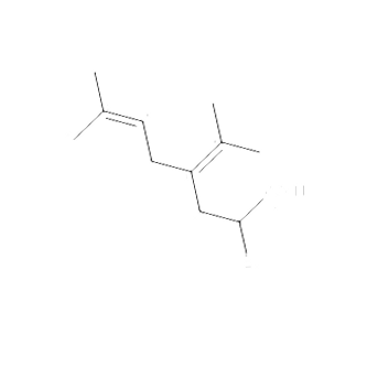 CCC(CC(CC=C(C)C)=C(C)C)C(=O)O